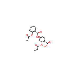 C=CC(=O)Oc1ccccc1C(=O)O.CCC(=O)Oc1ccccc1C(=O)O